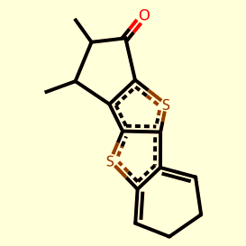 CC1C(=O)c2sc3c4c(sc3c2C1C)=CCCC=4